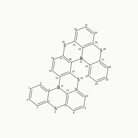 c1ccc2c(c1)Sc1cccc3c1B2c1ccc2c(c1S3)B1c3ccccc3Sc3cccc(c31)S2